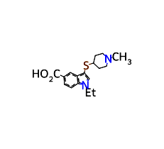 CCn1cc(SC2CCN(C)CC2)c2cc(C(=O)O)ccc21